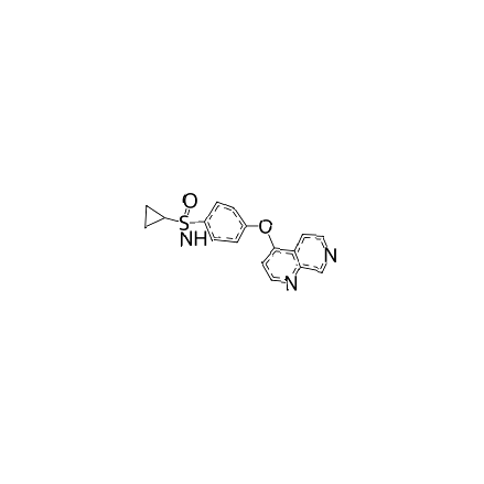 N=S(=O)(c1ccc(Oc2ccnc3cnccc23)cc1)C1CC1